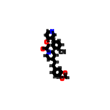 N#Cc1ccc(-c2cnccc2OCC(=O)N2CCC(CCc3ccc4c(c3)OCO4)CC2)cc1